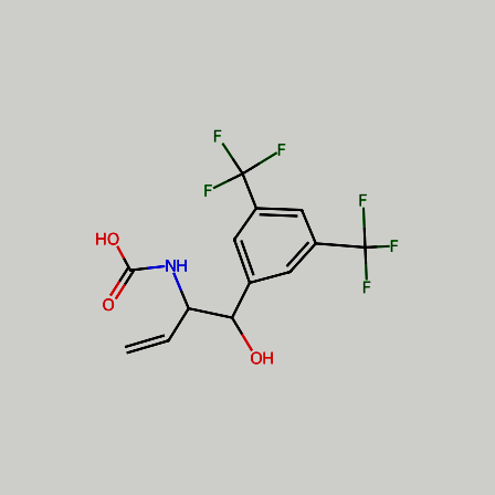 C=CC(NC(=O)O)C(O)c1cc(C(F)(F)F)cc(C(F)(F)F)c1